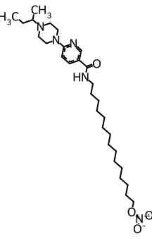 CCC(C)N1CCN(c2ccc(C(=O)NCCCCCCCCCCCCCCCO[N+](=O)[O-])cn2)CC1